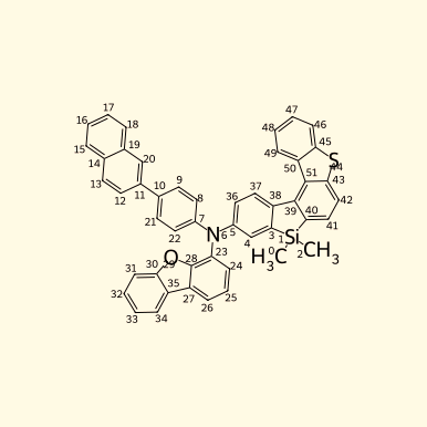 C[Si]1(C)c2cc(N(c3ccc(-c4ccc5ccccc5c4)cc3)c3cccc4c3oc3ccccc34)ccc2-c2c1ccc1sc3ccccc3c21